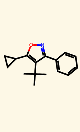 CC(C)(C)c1c(-c2ccccc2)noc1C1CC1